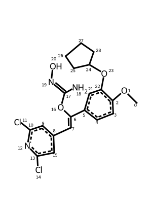 COc1ccc(/C(=C/c2cc(Cl)nc(Cl)c2)OC(N)=NO)cc1OC1CCCC1